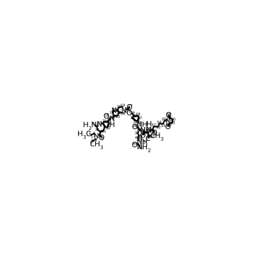 CCCN(CCC)C(=O)C1=Cc2ccc(C(=O)Nc3cnc4c(c3)CN(C(=O)OCc3ccc(NC(=O)[C@H](CCCNC(N)=O)NC(=O)[C@@H](NC(=O)CCCCCN5C(=O)C=CC5=O)C(C)C)cc3)CC4)cc2N=C(N)C1